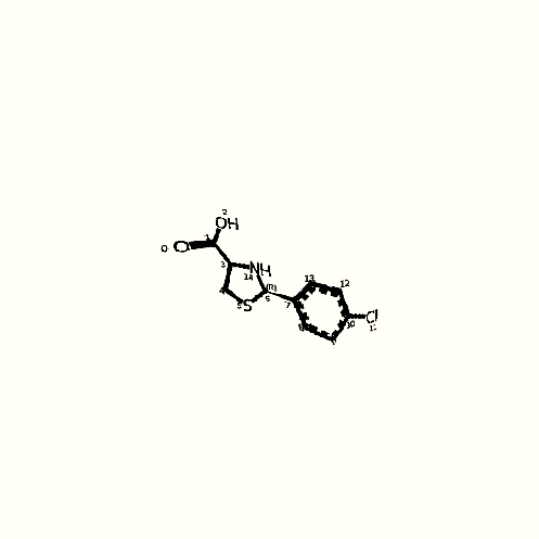 O=C(O)C1CS[C@H](c2ccc(Cl)cc2)N1